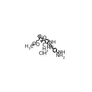 CCOC(=O)CCC1CCCN1C(=O)C1(c2ccc3[nH]c(CNc4ccc(C(=N)N)cc4)nc3c2C)CC1.Cl